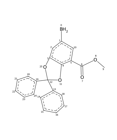 Bc1cc2c(c(C(=O)OC)c1)OC(c1ccccc1)(c1ccccc1)O2